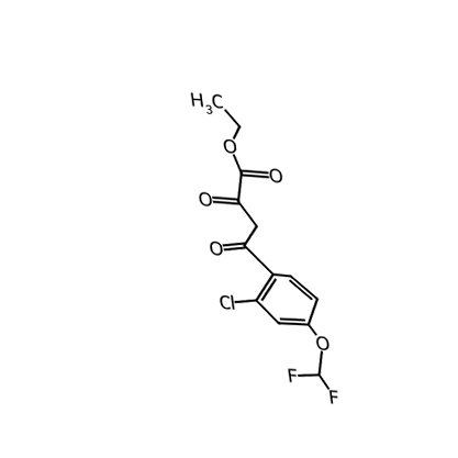 CCOC(=O)C(=O)CC(=O)c1ccc(OC(F)F)cc1Cl